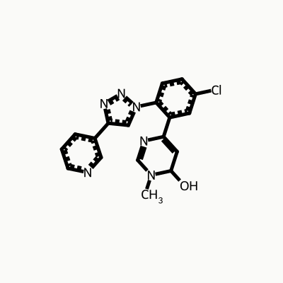 CN1C=NC(c2cc(Cl)ccc2-n2cc(-c3cccnc3)nn2)=CC1O